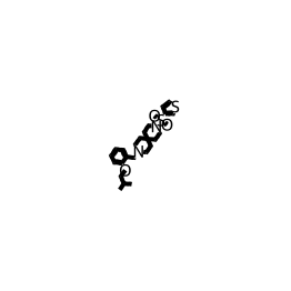 CC(C)COc1ccccc1CN1CCC2(CC1)CCN(S(=O)(=O)c1ccsc1)CC2